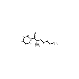 NCCCC[C@H](N)C(=O)N1CCCCC1